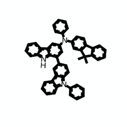 CC1(C)c2ccccc2-c2ccc(N(c3ccccc3)c3cc(-c4ccc5c(c4)c4ccccc4n5-c4ccccc4)c4[nH]c5ccccc5c4c3)cc21